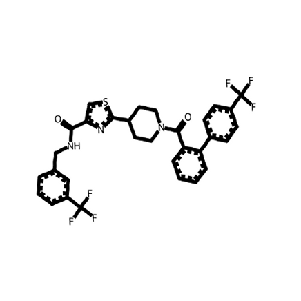 O=C(NCc1cccc(C(F)(F)F)c1)c1csc(C2CCN(C(=O)c3ccccc3-c3ccc(C(F)(F)F)cc3)CC2)n1